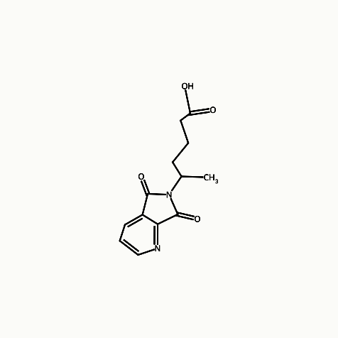 CC(CCCC(=O)O)N1C(=O)c2cccnc2C1=O